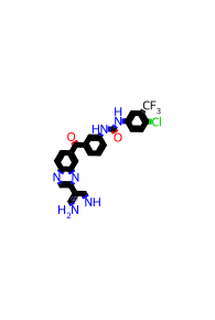 N=C/C(=C\N)c1cnc2ccc(C(=O)c3cccc(NC(=O)Nc4ccc(Cl)c(C(F)(F)F)c4)c3)cc2n1